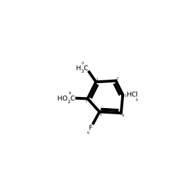 Cc1cccc(F)c1C(=O)O.Cl